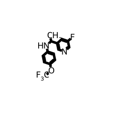 CC(Nc1ccc(OC(F)(F)F)cc1)c1cncc(F)c1